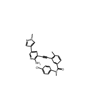 Cc1ccc(C(=O)N(C)c2ccc(Cl)cc2)cc1C#Cc1cc(-c2cnn(C)c2)cnc1N